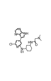 CCN(c1cc(-c2c[nH]c3nccnc23)cc(Cl)n1)C1CCCC(NC(=O)CN(C)C)C1